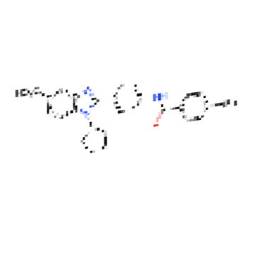 CC(C)(C)c1ccc(C(=O)Nc2ccc(-c3nc4cc(C(=O)O)ccc4n3C3CCCC3)cc2)cc1